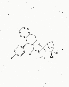 CN(C(=O)N1CCc2ccccc2[C@@H]1c1ccc(F)cc1)[C@@H]1C[C@H](N)C2CC1C2